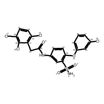 NS(=O)(=O)c1cc(NC(=O)Cc2c(Cl)ccc(Cl)c2Cl)ccc1Oc1cccc(Cl)c1